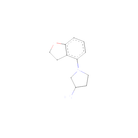 NC1CCN(c2cccc3c2CCO3)C1